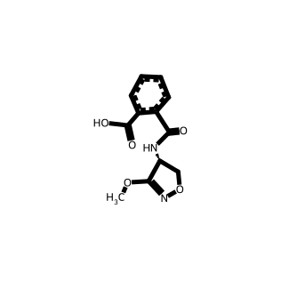 COC1=NOC[C@H]1NC(=O)c1ccccc1C(=O)O